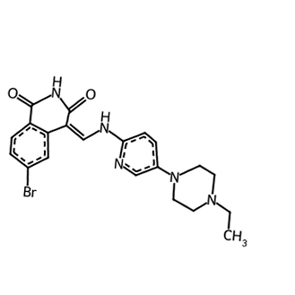 CCN1CCN(c2ccc(N/C=C3\C(=O)NC(=O)c4ccc(Br)cc43)nc2)CC1